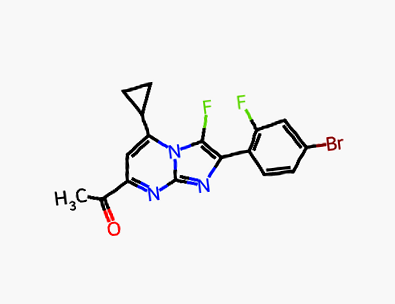 CC(=O)c1cc(C2CC2)n2c(F)c(-c3ccc(Br)cc3F)nc2n1